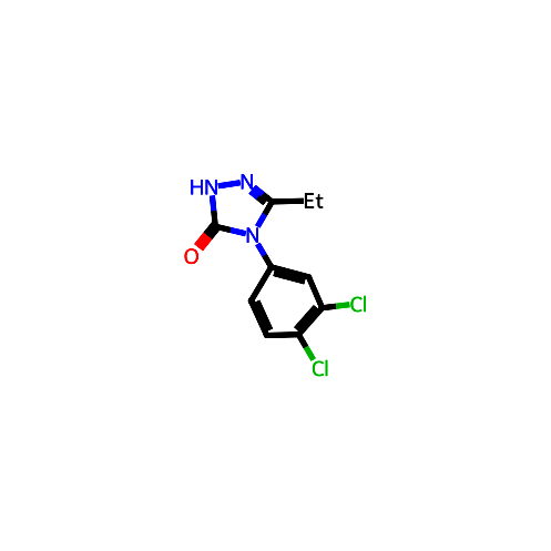 CCc1n[nH]c(=O)n1-c1ccc(Cl)c(Cl)c1